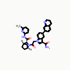 Cc1cccc(NC(=O)[C@@H]2[C@H]3CC[C@H](C3)N2C(=O)Cn2cc(C(N)=O)c3cc(-c4ccc5cccnc5c4)ccc32)n1